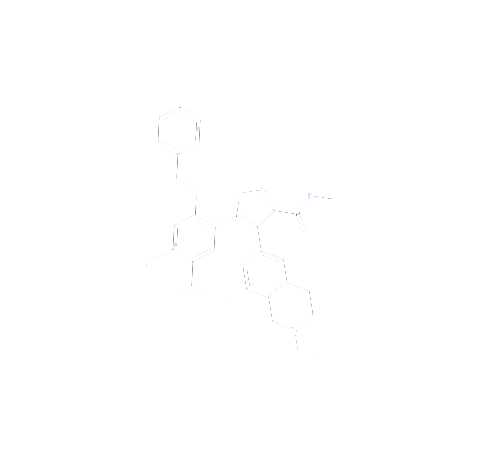 CNC(=O)c1noc(-c2cc(C(C)C)c(C)cc2OCc2ccccc2)c1-c1ccc2c(c1)CCN(C)C2